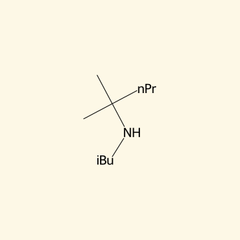 CCCC(C)(C)NC(C)CC